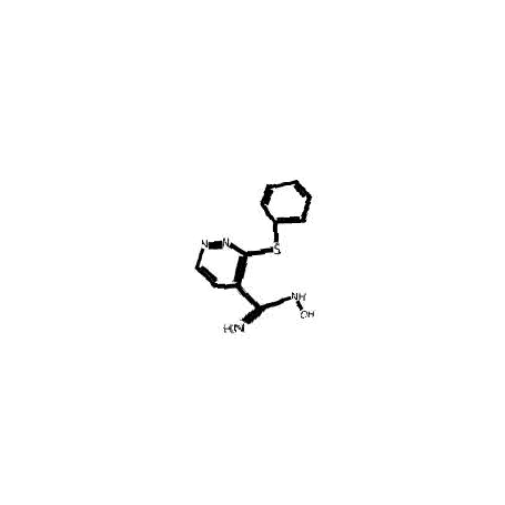 N=C(NO)c1ccnnc1Sc1ccccc1